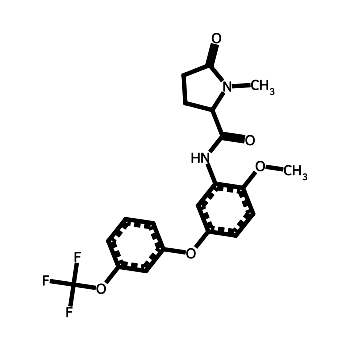 COc1ccc(Oc2cccc(OC(F)(F)F)c2)cc1NC(=O)C1CCC(=O)N1C